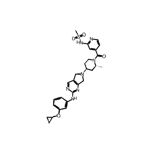 C[C@@H]1C[C@@H](N2Cc3cnc(Nc4cccc(OC5CC5)c4)nc3C2)CCN1C(=O)c1ccnc(NS(C)(=O)=O)c1